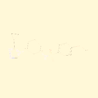 CCCCOc1ccc(S(=O)(=O)N[C@H]2CCC[C@@H](n3cnnc3C3CC3)C2)c(F)c1